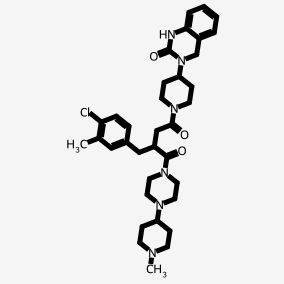 Cc1cc(CC(CC(=O)N2CCC(N3Cc4ccccc4NC3=O)CC2)C(=O)N2CCN(C3CCN(C)CC3)CC2)ccc1Cl